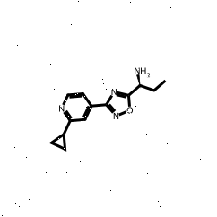 CC[C@H](N)c1nc(-c2ccnc(C3CC3)c2)no1